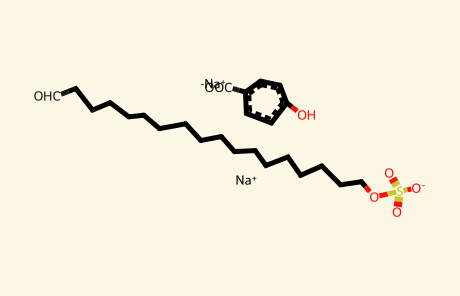 O=C([O-])c1ccc(O)cc1.O=CCCCCCCCCCCCCCCCCCOS(=O)(=O)[O-].[Na+].[Na+]